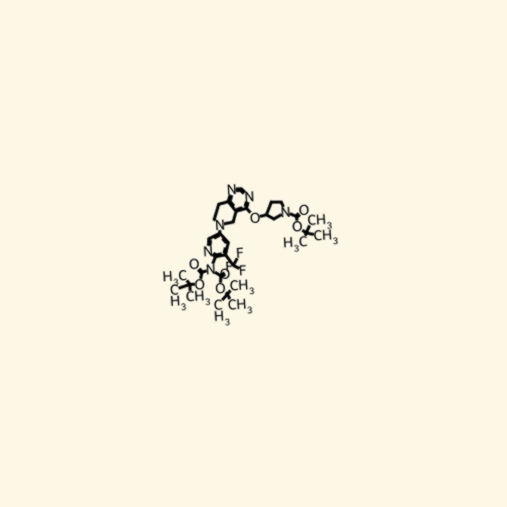 CC(C)(C)OC(=O)N1CCC(Oc2ncnc3c2CN(c2cnc(N(C(=O)OC(C)(C)C)C(=O)OC(C)(C)C)c(C(F)(F)F)c2)CC3)C1